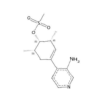 C[C@@H]1C=C(c2ccncc2N)C[C@H](C)[C@@H]1OS(C)(=O)=O